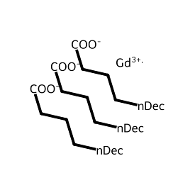 CCCCCCCCCCCCCC(=O)[O-].CCCCCCCCCCCCCC(=O)[O-].CCCCCCCCCCCCCC(=O)[O-].[Gd+3]